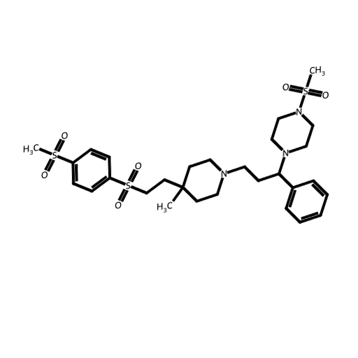 CC1(CCS(=O)(=O)c2ccc(S(C)(=O)=O)cc2)CCN(CCC(c2ccccc2)N2CCN(S(C)(=O)=O)CC2)CC1